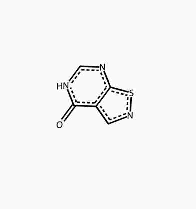 O=c1[nH]cnc2sncc12